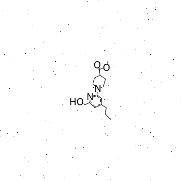 CCCc1cc(CO)nc(N2CCC(C(=O)OC)CC2)c1